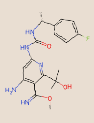 COC(=N)c1c(N)cc(NC(=O)N[C@H](C)c2ccc(F)cc2)nc1C(C)(C)O